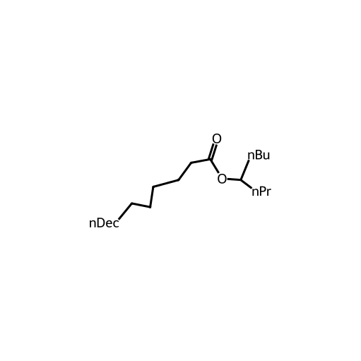 CCCCCCCCCCCCCCCC(=O)OC(CCC)CCCC